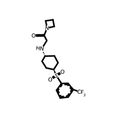 O=C(CN[C@H]1CC[C@H](S(=O)(=O)c2cccc(C(F)(F)F)c2)CC1)N1CCC1